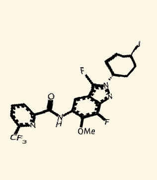 COc1c(NC(=O)c2cccc(C(F)(F)F)n2)cc2c(F)n([C@H]3CC[C@H](I)CC3)nc2c1F